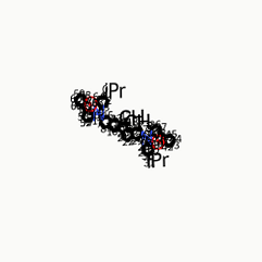 CC(C)c1ccc(N(c2ccc3cc4c(cc3c2)C(C)(C)c2c-4ccc3cc(N(c4ccc(C(C)C)cc4)c4cccc5c4oc4ccccc45)ccc23)c2cccc3c2oc2ccccc23)cc1